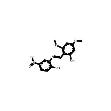 COc1cc(O)c(C=Nc2cc([N+](=O)[O-])ccc2O)c(OC)c1